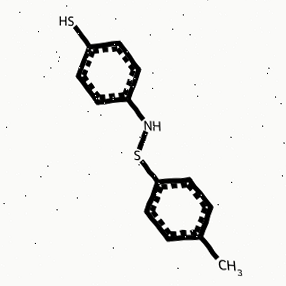 Cc1ccc(SNc2ccc(S)cc2)cc1